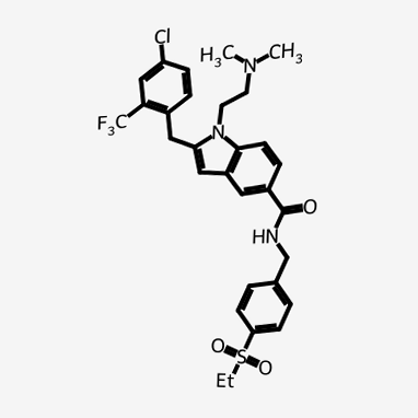 CCS(=O)(=O)c1ccc(CNC(=O)c2ccc3c(c2)cc(Cc2ccc(Cl)cc2C(F)(F)F)n3CCN(C)C)cc1